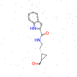 O=C[C@@H]1C[C@H]1CCNC(=O)c1cc2ccccc2[nH]1